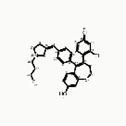 Oc1ccc2c(c1)SCCC(c1ccc(Cl)cc1Cl)=C2c1ccc(C=C2CCN(CCCF)C2)cc1